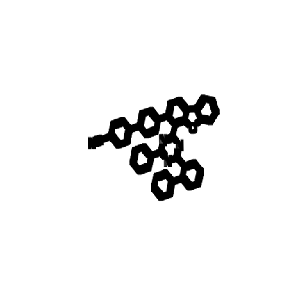 N#Cc1ccc(-c2ccc(-c3ccc4c(oc5ccccc54)c3-c3nc(-c4ccccc4)nc(-c4ccccc4-c4ccccc4)n3)cc2)cc1